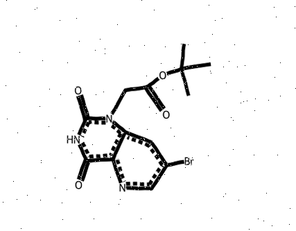 CC(C)(C)OC(=O)Cn1c(=O)[nH]c(=O)c2ncc(Br)cc21